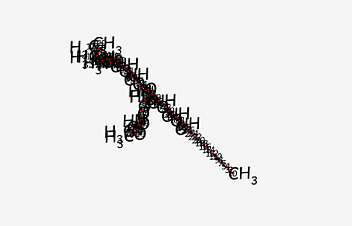 CCCCCCCCCCCCCCCCCCCCCCCCCCCCCC(=O)NCCOCCNC(=O)CCCOCCNC(=O)CCC[C@H](NC(=O)CCOCCOCCNC(=O)CCN1C(=O)CC(C(C)C)C1=O)C(=O)NCCCOCCCC(=O)NCCOCCNC(=O)O[C@H]1CC[C@@]2(C)C(=CC[C@H]3[C@@H]4CC[C@H]([C@H](C)CCCC(C)C)[C@@]4(C)CC[C@@H]32)C1